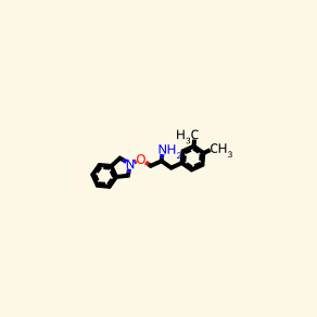 Cc1ccc(CC(N)CON2Cc3ccccc3C2)cc1C